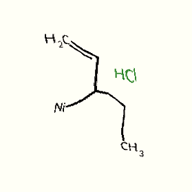 C=C[CH]([Ni])CC.Cl